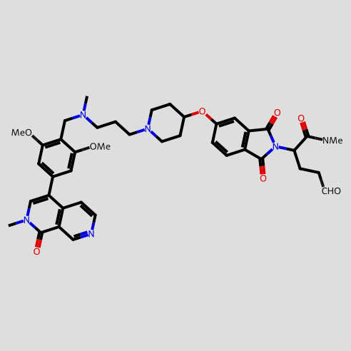 CNC(=O)C(CCC=O)N1C(=O)c2ccc(OC3CCN(CCCN(C)Cc4c(OC)cc(-c5cn(C)c(=O)c6cnccc56)cc4OC)CC3)cc2C1=O